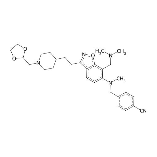 CN(C)Cc1c(N(C)Cc2ccc(C#N)cc2)ccc2c(CCC3CCN(CC4OCCO4)CC3)noc12